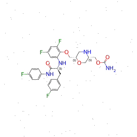 NC(=O)OC[C@@H]1CO[C@H](COc2c(F)cc(F)cc2N[C@@H](Cc2ccc(F)cc2)C(=O)Nc2ccc(F)cc2)CN1